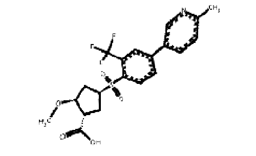 CO[C@H]1C[C@@H](S(=O)(=O)c2ccc(-c3ccc(C)nc3)cc2C(F)(F)F)C[C@@H]1C(=O)O